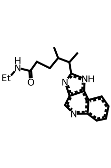 CCNC(=O)CCC(C)C(C)c1nc2cnc3ccccc3c2[nH]1